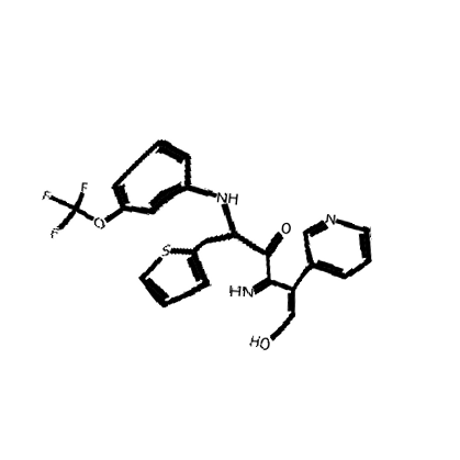 N=C(C(=O)C(Nc1cccc(OC(F)(F)F)c1)c1cccs1)/C(=C\O)c1cccnc1